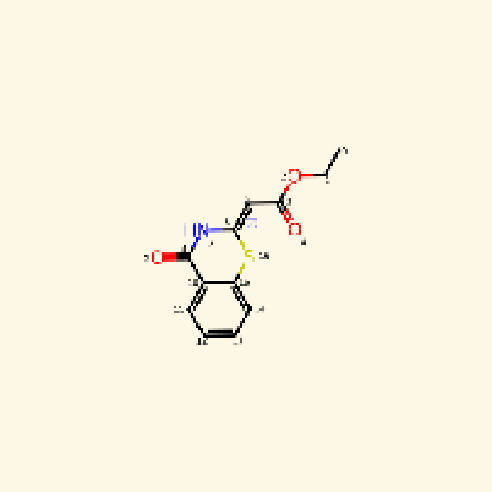 CCOC(=O)/C=C1/NC(=O)c2ccccc2S1